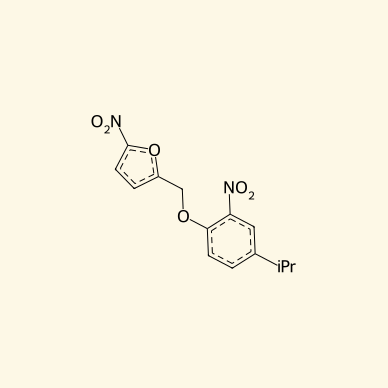 CC(C)c1ccc(OCc2ccc([N+](=O)[O-])o2)c([N+](=O)[O-])c1